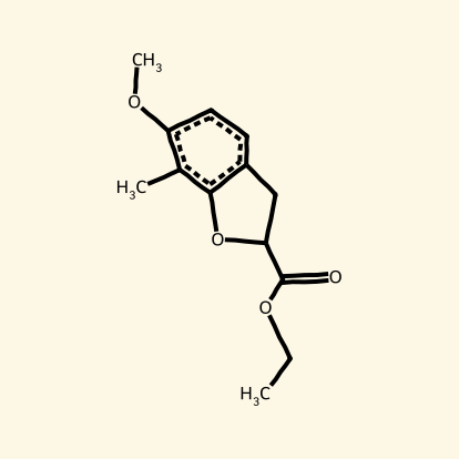 CCOC(=O)C1Cc2ccc(OC)c(C)c2O1